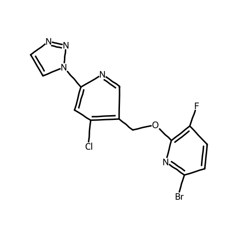 Fc1ccc(Br)nc1OCc1cnc(-n2ccnn2)cc1Cl